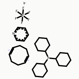 C1=C\CC/C=C\CC/1.C1CCC(P(C2CCCCC2)C2CCCCC2)CC1.F[P-](F)(F)(F)(F)F.[Ir].c1ccncc1